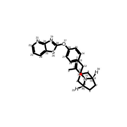 CC(=O)N1C[C@H]2CC[C@@H](C1)N2CCc1ccc(Oc2nc3ncccc3s2)cc1